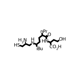 CCCC(CCC(NC[C@H](N)CS)C(C)CC)C(=O)NC(CCO)C(=O)O